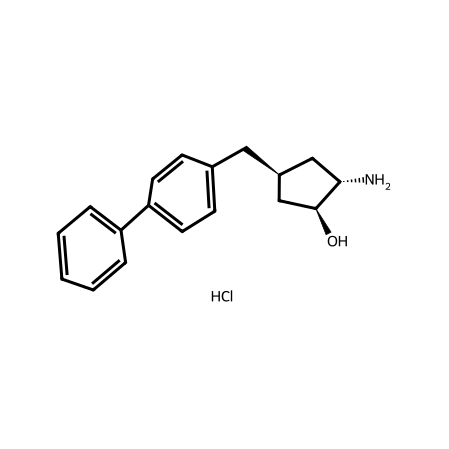 Cl.N[C@H]1C[C@H](Cc2ccc(-c3ccccc3)cc2)C[C@@H]1O